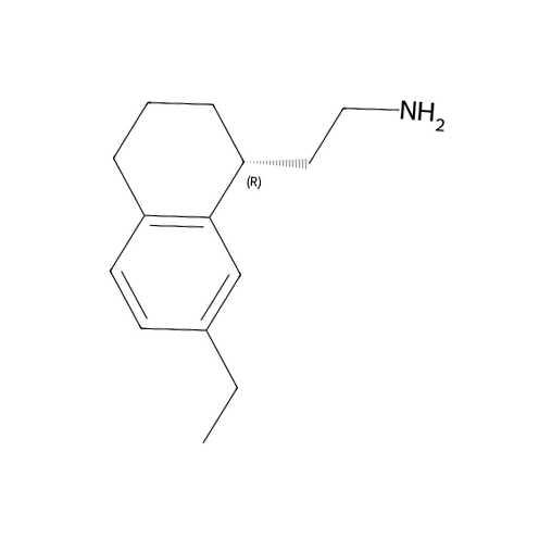 CCc1ccc2c(c1)[C@@H](CCN)CCC2